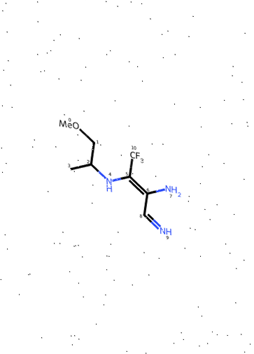 COCC(C)N/C(=C(/N)C=N)C(F)(F)F